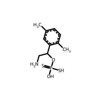 Cc1ccc(C)c(C(CN)OP(O)(=S)S)c1